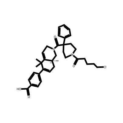 CC1(C)C(c2ccc(C(=O)O)cc2)=CC[C@]2(C)CN(C(=O)C3(c4ccccc4)CCN(C(=O)CCCCCl)CC3)CC=C12